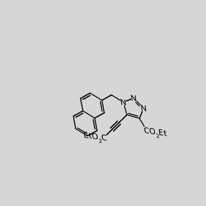 CCOC(=O)C#Cc1c(C(=O)OCC)nnn1Cc1ccc2ccccc2c1